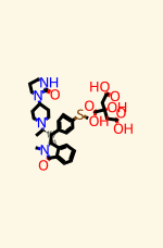 CSc1ccc([C@@H](C(C)N2CCC(N3CCCNC3=O)CC2)[C@@H]2c3ccccc3C(=O)N2C)cc1.O=C(O)CC(O)(CC(=O)O)C(=O)O